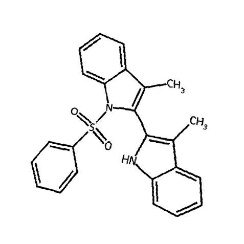 Cc1c(-c2c(C)c3ccccc3n2S(=O)(=O)c2ccccc2)[nH]c2ccccc12